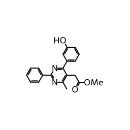 COC(=O)Cc1c(C)nc(-c2ccccc2)nc1-c1cccc(O)c1